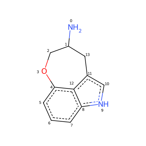 NC1COc2cccc3[nH]cc(c23)C1